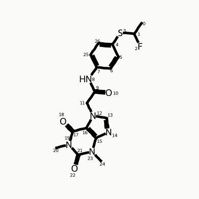 CC(F)Sc1ccc(NC(=O)Cn2cnc3c2c(=O)n(C)c(=O)n3C)cc1